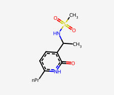 CCCc1ccc(C(C)NS(C)(=O)=O)c(=O)[nH]1